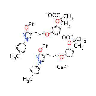 CCOc1nn(-c2ccc(C)cc2)cc1CCCOc1cccc(OC(C)(C)C(=O)[O-])c1.CCOc1nn(-c2ccc(C)cc2)cc1CCCOc1cccc(OC(C)(C)C(=O)[O-])c1.[Ca+2]